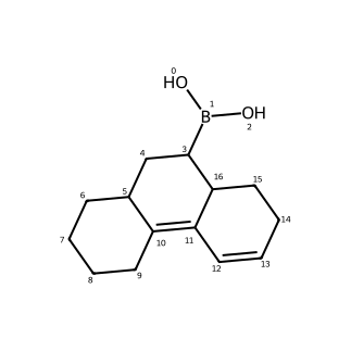 OB(O)C1CC2CCCCC2=C2C=CCCC21